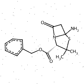 CC1(C)SC2(N)CC(=O)N2[C@H]1C(=O)OCc1ccccc1